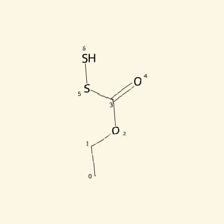 CCOC(=O)SS